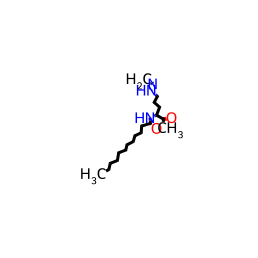 C=NNCCCC(NC(=O)CCCCCCCCCCC)C(C)=O